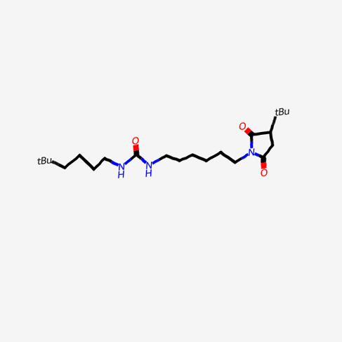 CC(C)(C)CCCCNC(=O)NCCCCCCN1C(=O)CC(C(C)(C)C)C1=O